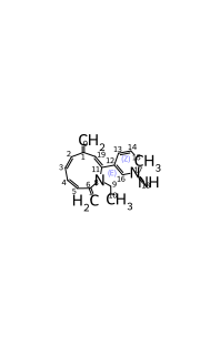 C=c1ccccc(=C)n(CC)c(C(/C=C\C)=C/N=N)c1